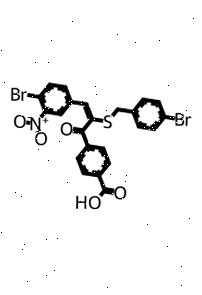 O=C(O)c1ccc(C(=O)/C(=C\c2ccc(Br)c([N+](=O)[O-])c2)SCc2ccc(Br)cc2)cc1